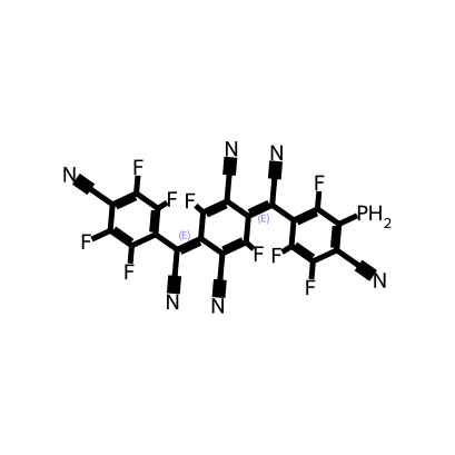 N#C/C(c1c(F)c(F)c(C#N)c(F)c1F)=c1/c(F)c(C#N)/c(=C(\C#N)c2c(F)c(F)c(C#N)c(P)c2F)c(F)c1C#N